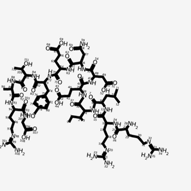 CCC(C)C(NC(=O)C(CC(C)C)NC(=O)C(CCCN=C(N)N)NC(=O)C(N)CCCN=C(N)N)C(=O)NC(CCC(=O)O)C(=O)NC(CC(=O)O)C(=O)NC(CC(N)=O)C(=O)NC(CCC(=O)O)C(=O)NC(Cc1ccc(O)cc1)C(=O)NC(C(=O)NC(C)C(=O)NC(CCCN=C(N)N)C(=O)NCC(=O)O)C(C)O